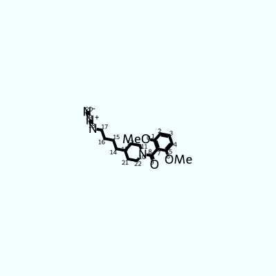 COc1cccc(OC)c1C(=O)N1CCC(CCCCN=[N+]=[N-])CC1